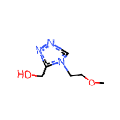 COCCn1cnnc1CO